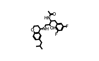 CC(=O)NC(Cc1cc(F)cc(F)c1)C(O)CNC1CCOc2ccc(CC(C)C)cc21